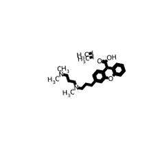 CI.CI.CN(C)CCCN(C)CCCc1ccc2c(c1)Oc1ccccc1C2C(=O)O